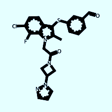 Cc1c(Sc2cccc(C=O)c2)c2ccc(Cl)c(F)c2n1CC(=O)N1CC(n2cccn2)C1